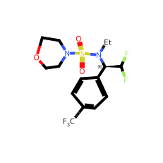 CCN([C@H](c1ccc(C(F)(F)F)cc1)C(F)F)S(=O)(=O)N1CCOCC1